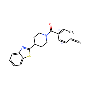 C=C/C=C\C(=C/C)C(=O)N1CCC(c2nc3ccccc3s2)CC1